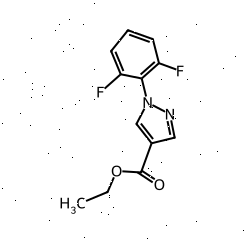 CCOC(=O)c1cnn(-c2c(F)cccc2F)c1